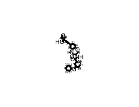 CN1C(=O)C(NC(=O)c2cc(Oc3ccccc3)ccn2)COc2ccc(C#CC3(O)COC3)cc21